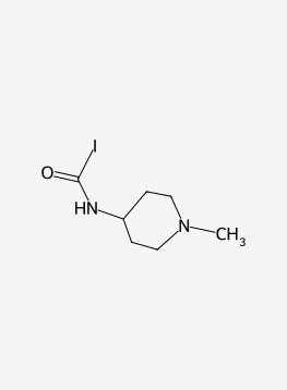 CN1CCC(NC(=O)I)CC1